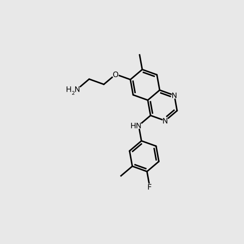 Cc1cc(Nc2ncnc3cc(C)c(OCCN)cc23)ccc1F